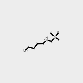 [Li][CH2]CCCNC[Si](C)(C)C